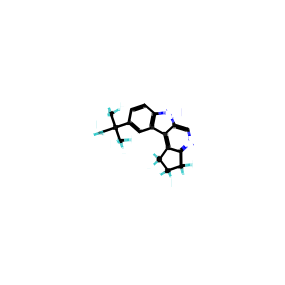 FC(F)(F)C(c1ccc2[nH]c3cnc4c(c3c2c1)C(F)(F)C(F)(F)C4(F)F)(C(F)(F)F)C(F)(F)F